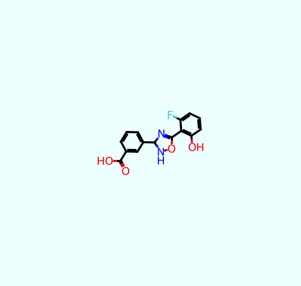 O=C(O)c1cccc(C2N=C(c3c(O)cccc3F)ON2)c1